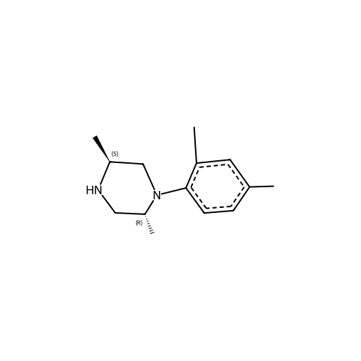 Cc1ccc(N2C[C@H](C)NC[C@H]2C)c(C)c1